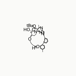 Cc1ccc2c(c1)O[C@@H](C)CCCOC1(C)CCN(CC1)c1c([C@H](OC(C)(C)C)C(=O)O)c(C)nc3cc(nn13)-c1cccc-2c1